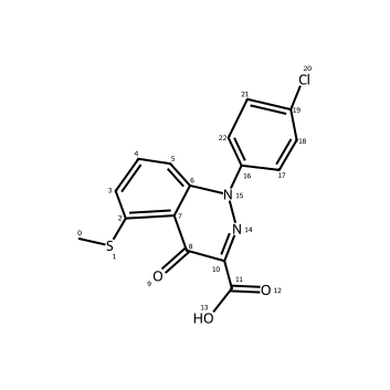 CSc1cccc2c1c(=O)c(C(=O)O)nn2-c1ccc(Cl)cc1